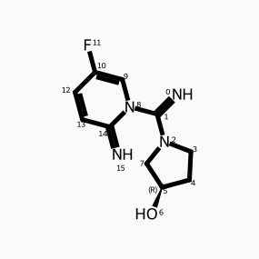 N=C(N1CC[C@@H](O)C1)n1cc(F)ccc1=N